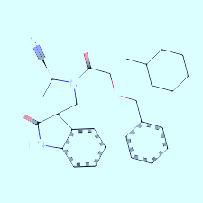 N#C[C@@H]1C[C@@]2(CN1C(=O)[C@H](CC1CCCCC1)OCc1ccccc1)C(=O)Nc1ccccc12